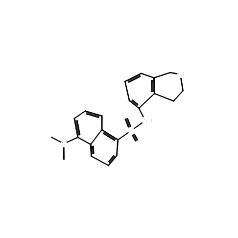 CN(C)c1cccc2c(S(=O)(=O)Nc3cccc4c3CCNC4)cccc12.Cl